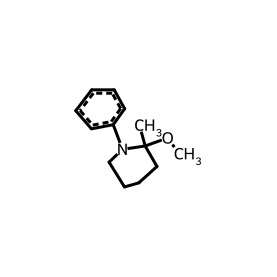 COC1(C)CCCCN1c1ccccc1